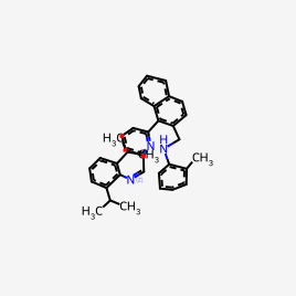 Cc1ccccc1NCc1ccc2ccccc2c1-c1cccc(/C=N\c2c(C(C)C)cccc2C(C)C)n1